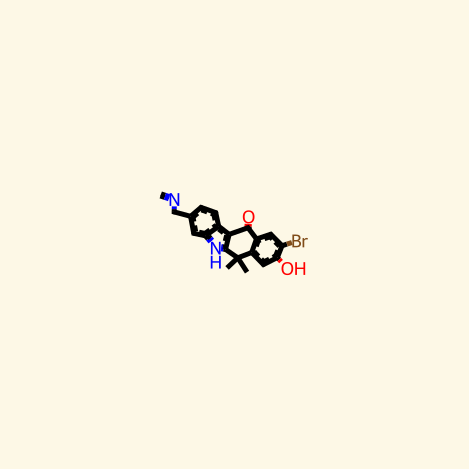 C=NCc1ccc2c3c([nH]c2c1)C(C)(C)c1cc(O)c(Br)cc1C3=O